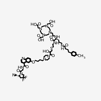 Cc1ccc(CCCC(=O)NCCC[C@H](NC(=O)CN2CCN(CC(=O)O)CCN(CC(=O)O)CCN(CC(=O)O)CC2)C(=O)NCCSC[C@@H](O)C(=O)N2CCN(CCCCOc3ccc4nccc(C(=O)NCC(=O)N5CC(F)(F)C[C@@H]5C#N)c4c3)CC2)cc1